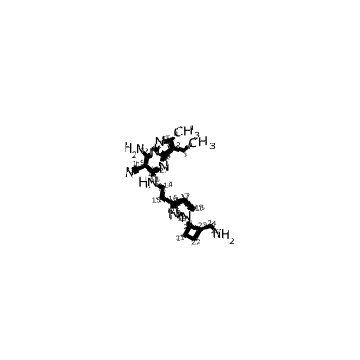 CCc1c(C)nn2c(N)c(C#N)c(NCCc3ccn(C4CCC4CN)n3)nc12